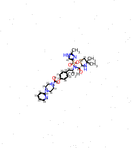 Cc1nc(S(=O)(=O)N(C(=O)[C@H]2NC(C)(C)CS2)[C@@H](Cc2ccc(OC(=O)N3CCN(c4ccccn4)CC3)cc2)C(=O)O)c[nH]1